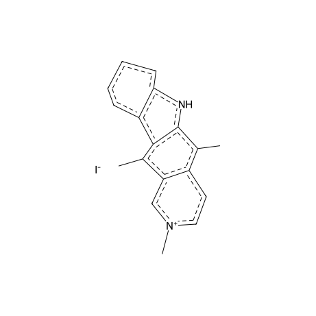 Cc1c2cc[n+](C)cc2c(C)c2c1[nH]c1ccccc12.[I-]